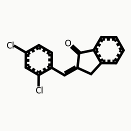 O=C1/C(=C\c2ccc(Cl)cc2Cl)Cc2ccccc21